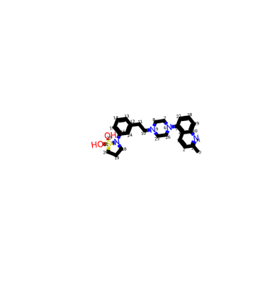 Cc1ccc2c(N3CCN(CCc4cccc(N5CCCS5(O)O)c4)CC3)cccc2n1